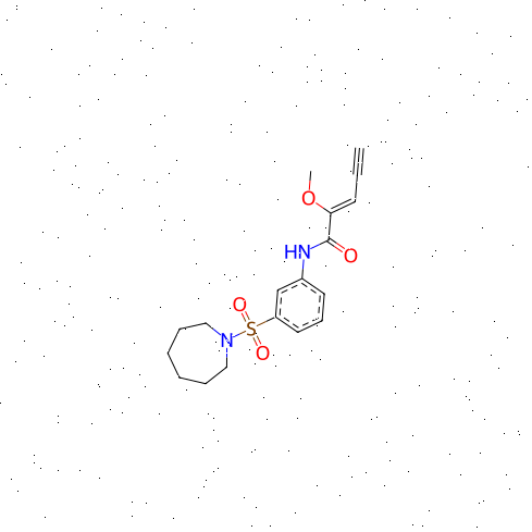 C#C/C=C(\OC)C(=O)Nc1cccc(S(=O)(=O)N2CCCCCC2)c1